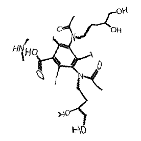 CC(=O)N(CCC(O)CO)c1c(I)c(C(=O)O)c(I)c(N(CCC(O)CO)C(C)=O)c1I.CNC